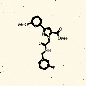 COC(=O)c1cc(-c2cccc(OC)c2)nn1CC(=O)NCc1cccc(F)c1